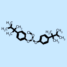 CC(C)C(C)(C)c1ccc(OP(OCl)Oc2ccc(C(C)(C)C(C)C)cc2)cc1